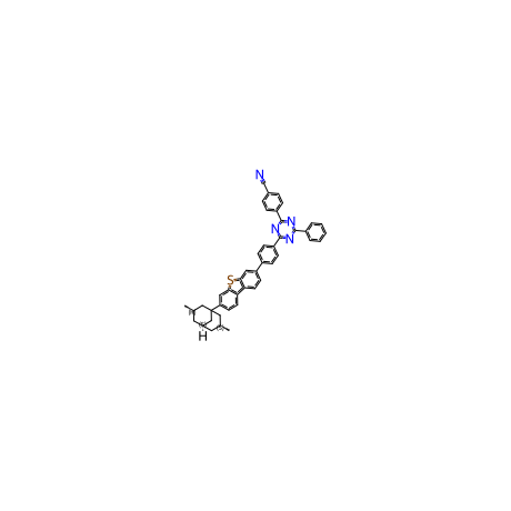 C[C@@H]1C[C@@H]2C[C@H](C)CC(c3ccc4c(c3)sc3cc(-c5ccc(-c6nc(-c7ccccc7)nc(-c7ccc(C#N)cc7)n6)cc5)ccc34)(C1)C2